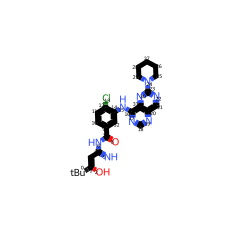 CC(C)(C)/C(O)=C/C(=N)NC(=O)c1ccc(Cl)c(Nc2ncnc3cnc(N4CCCCC4)nc23)c1